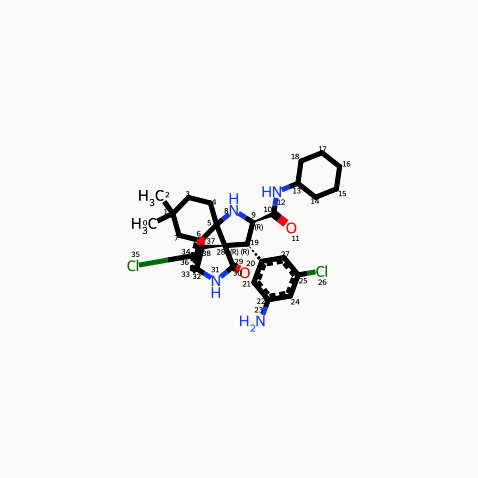 CC1(C)CCC2(CC1)N[C@@H](C(=O)NC1CCCCC1)[C@H](c1cc(N)cc(Cl)c1)[C@]21C(=O)Nc2cc(Cl)ccc21